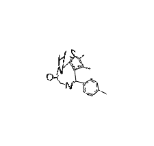 Cc1ccc(C2=NCC(=O)Nc3sc(C)c(C)c32)cc1